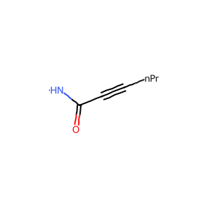 CCCC#CC([NH])=O